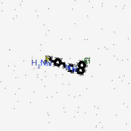 Nc1nc(-c2ccc(CCN3CCN(c4cccc5cc(Cl)ccc45)CC3)cc2)cs1